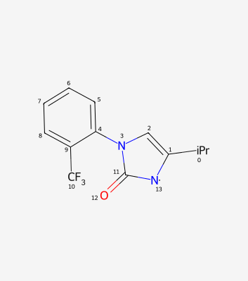 CC(C)C1=CN(c2ccccc2C(F)(F)F)C(=O)[N]1